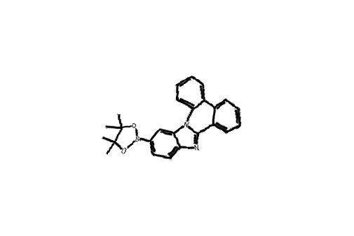 CC1(C)OB(c2ccc3nc4c5ccccc5c5ccccc5n4c3c2)OC1(C)C